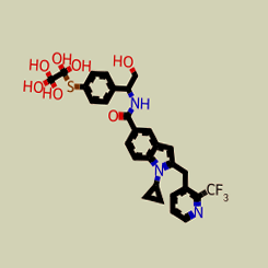 O=C(NC(CO)c1ccc(SC(O)(O)C(O)(O)O)cc1)c1ccc2c(c1)cc(Cc1cccnc1C(F)(F)F)n2C1CC1